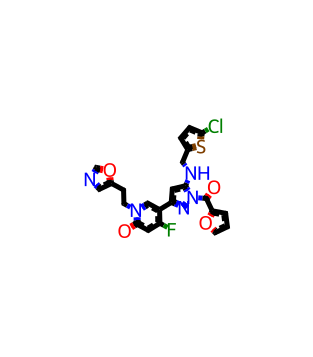 O=C(c1ccco1)n1nc(-c2cn(CCc3cnco3)c(=O)cc2F)cc1NCc1ccc(Cl)s1